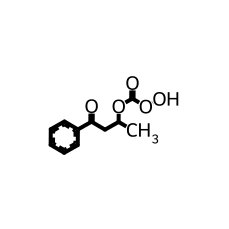 CC(CC(=O)c1ccccc1)OC(=O)OO